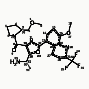 COC[C@@H]1CCCN1C(=O)c1nc(-c2ccc(OC)c3nc(C(F)(F)F)ccc23)oc1[C@H](C)N